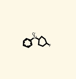 [O-][S+](c1ccccc1)C1CCC(F)CC1